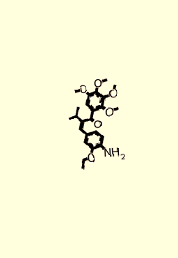 CCOc1cc(C=C(C(=O)c2cc(OC)c(OC)c(OC)c2OC)C(C)C)ccc1N